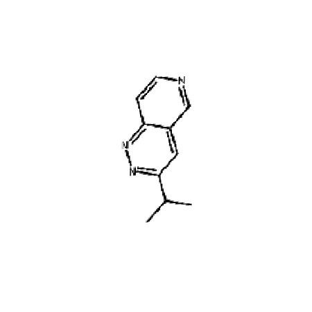 CC(C)c1cc2cnccc2nn1